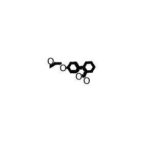 O=c1oc2c(c3c1CCCC3)=CCC(OCC1CO1)C=2